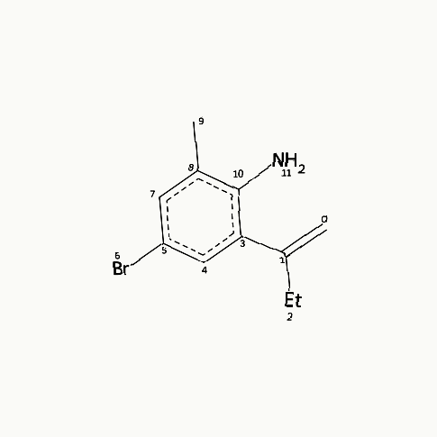 C=C(CC)c1cc(Br)cc(C)c1N